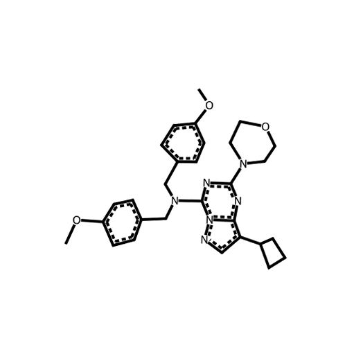 COc1ccc(CN(Cc2ccc(OC)cc2)c2nc(N3CCOCC3)nc3c(C4CCC4)cnn23)cc1